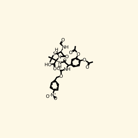 CC(=O)Oc1ccc(C(NC(=O)OCc2ccc([N+](=O)[O-])cc2)C(=O)N[C@@]2(C(=O)O)N3C(=O)[C@H](NC=O)[C@H]3SC2(C)C)cc1OC(C)=O